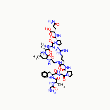 CC(C)C[C@H](NC(=O)CNC(=O)[C@H](CCCNC(=N)N)NC(=O)[C@@H]1CCCN1C(=O)CNC(=O)[C@H](Cc1ccccc1)NC(=O)[C@H](C)NC(=O)CN)C(=O)N[C@@H](C)C(=O)NCC(=O)N1CCC[C@H]1C(=O)N[C@@H](CCC(N)=O)C(=O)O